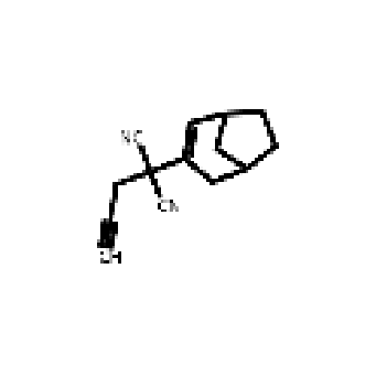 C#CCC(C#N)(C#N)C1=CC2CCC(C1)C2